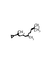 C=C(CCC=C(C)CCC=C(C)C)C1CC1